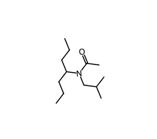 CCCC(CCC)N(CC(C)C)C(C)=O